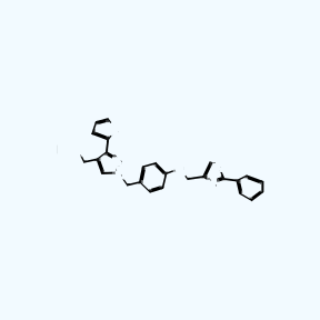 CCc1cn(Cc2ccc(OCc3csc(-c4ccccc4)n3)cc2)nc1-c1cccs1